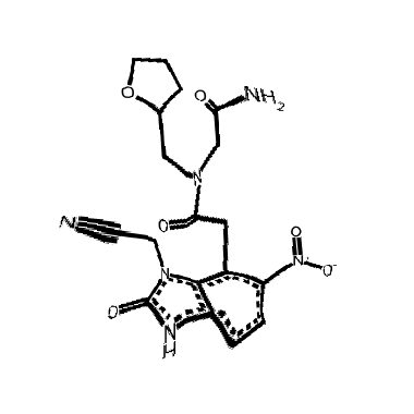 N#CCn1c(=O)[nH]c2ccc([N+](=O)[O-])c(CC(=O)N(CC(N)=O)CC3CCCO3)c21